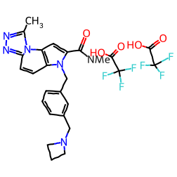 CNC(=O)c1cc2c(ccc3nnc(C)n32)n1Cc1cccc(CN2CCC2)c1.O=C(O)C(F)(F)F.O=C(O)C(F)(F)F